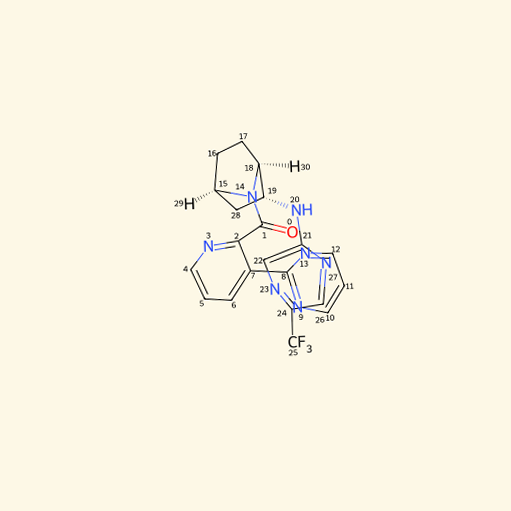 O=C(c1ncccc1-c1ncccn1)N1[C@@H]2CC[C@H]1[C@H](Nc1cnc(C(F)(F)F)cn1)C2